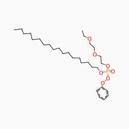 CCCCCCCCCCCCCCCCCCOP(=O)(OCCOCCOCC)OOc1ccccc1